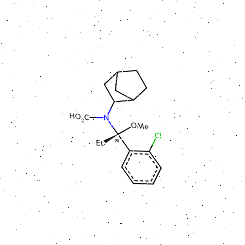 CC[C@@](OC)(c1ccccc1Cl)N(C(=O)O)C1CC2CCC1C2